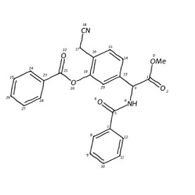 COC(=O)C(NC(=O)c1ccccc1)c1ccc(CC#N)c(OC(=O)c2ccccc2)c1